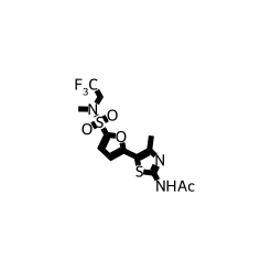 CC(=O)Nc1nc(C)c(-c2ccc(S(=O)(=O)N(C)CC(F)(F)F)o2)s1